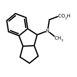 CN(CC(=O)O)C1c2ccccc2C2CCCC21